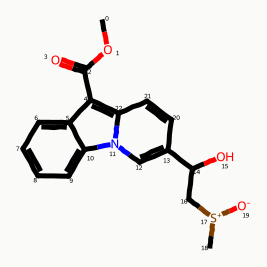 COC(=O)c1c2ccccc2n2cc(C(O)C[S+](C)[O-])ccc12